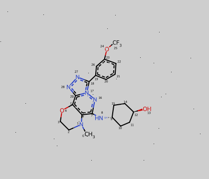 CN1CCOc2c1c(N[C@H]1CC[C@H](O)CC1)nn1c(-c3cccc(OC(F)(F)F)c3)nnc21